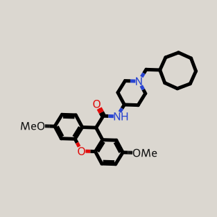 COc1ccc2c(c1)Oc1ccc(OC)cc1C2C(=O)NC1CCN(CC2CCCCCCC2)CC1